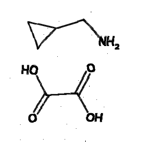 NCC1CC1.O=C(O)C(=O)O